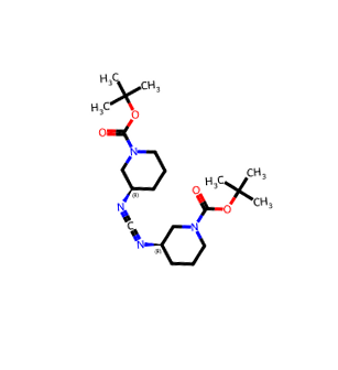 CC(C)(C)OC(=O)N1CCC[C@@H](N=C=N[C@@H]2CCCN(C(=O)OC(C)(C)C)C2)C1